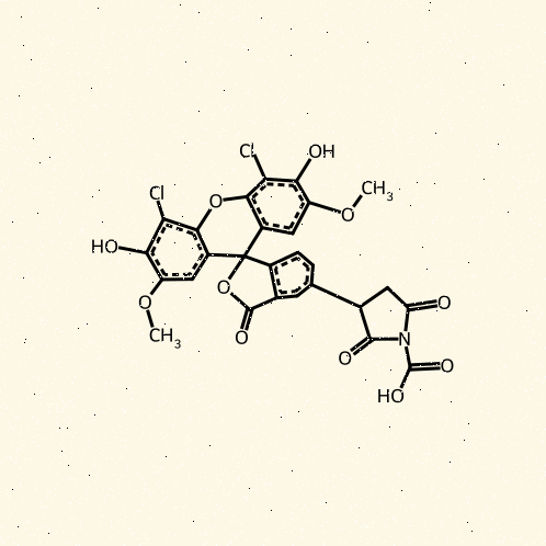 COc1cc2c(c(Cl)c1O)Oc1c(cc(OC)c(O)c1Cl)C21OC(=O)c2cc(C3CC(=O)N(C(=O)O)C3=O)ccc21